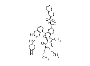 CCCCN(CCCC)C(=O)c1nn(-c2ccc(C(=O)NS(=O)(=O)c3ccc4ccccc4c3)cc2C(=O)c2cccc3c2CC(CNC2CCNCC2)NC3)c(C)c1Cl